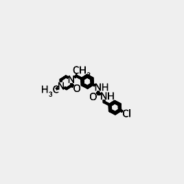 C[C@@H](c1ccc(NC(=O)NCc2ccc(Cl)cc2)cc1)N1CCN(C)CC1=O